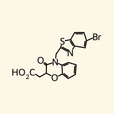 O=C(O)CC1Oc2ccccc2N(Cc2nc3cc(Br)ccc3s2)C1=O